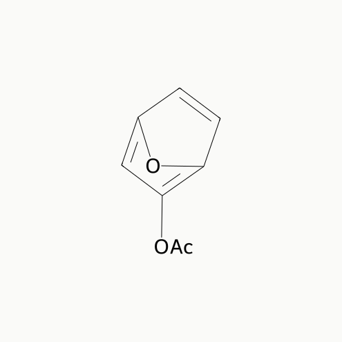 CC(=O)Oc1cc2ccc1o2